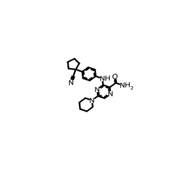 N#CC1(c2ccc(Nc3nc(N4CCCCC4)cnc3C(N)=O)cc2)CCCC1